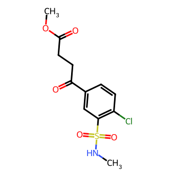 CNS(=O)(=O)c1cc(C(=O)CCC(=O)OC)ccc1Cl